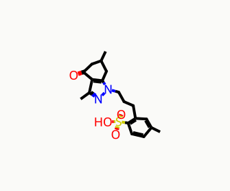 Cc1ccc(S(=O)(=O)O)c(CCCn2nc(C)c3c2CC(C)CC3=O)c1